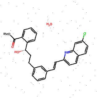 COC(=O)c1ccccc1[C@@H](O)CCc1cccc(/C=C/c2ccc3ccc(Cl)cc3n2)c1.O